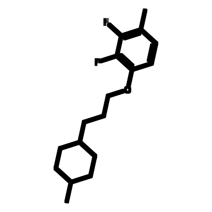 Cc1ccc(OCCCC2CCC(C)CC2)c(F)c1F